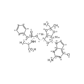 CC(N[P@](=O)(OC[C@H]1O[C@@H](n2ccc3c(Cl)nc(N)nc32)[C@@H]2OC(C)(C)O[C@@H]21)Oc1ccccc1)C(=O)O